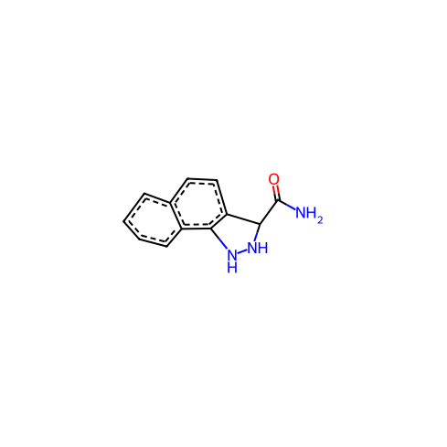 NC(=O)C1NNc2c1ccc1ccccc21